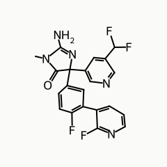 CN1C(=O)C(c2cncc(C(F)F)c2)(c2ccc(F)c(-c3cccnc3F)c2)N=C1N